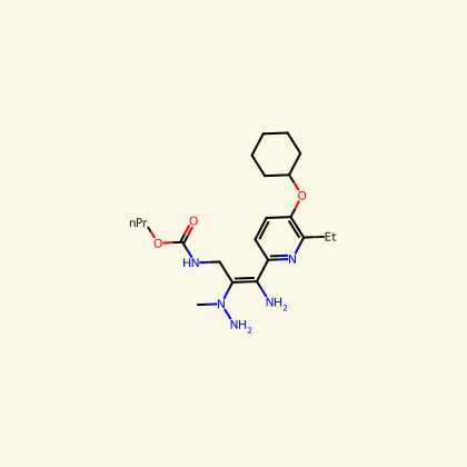 CCCOC(=O)NC/C(=C(/N)c1ccc(OC2CCCCC2)c(CC)n1)N(C)N